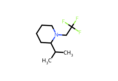 CC(C)C1CCCCN1CC(F)(F)F